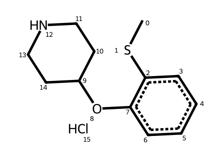 CSc1ccccc1OC1CCNCC1.Cl